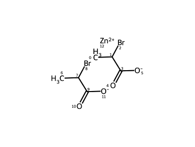 CC(Br)C(=O)[O-].CC(Br)C(=O)[O-].[Zn+2]